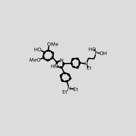 CCN(CC)c1ccc(-c2[nH]c(-c3cc(OC)c(O)c(OC)c3)nc2-c2ccc(N(CC)CCP(O)O)cc2)cc1